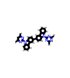 Cc1cc(C)nc(-n2c3ccccc3c3cc(-c4ccc5c(c4)c4ccccc4n5-c4nc(C)nc(C)n4)ccc32)n1